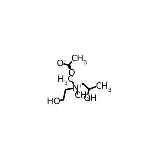 CC(=O)[O-].CC(O)C[N+](C)(C)CCO